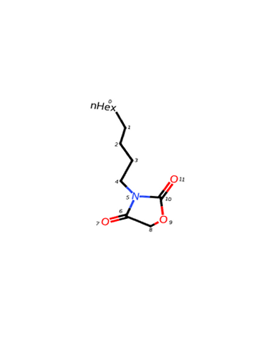 CCCCCCCCCCN1C(=O)COC1=O